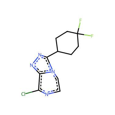 FC1(F)CCC(c2nnc3c(Cl)nccn23)CC1